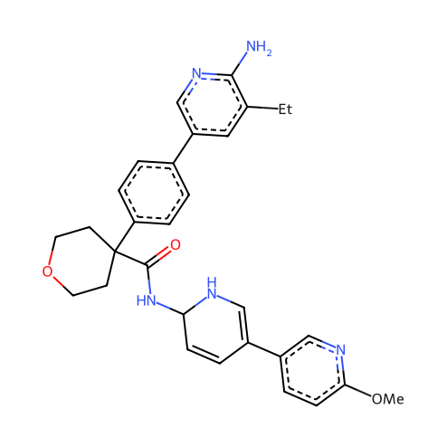 CCc1cc(-c2ccc(C3(C(=O)NC4C=CC(c5ccc(OC)nc5)=CN4)CCOCC3)cc2)cnc1N